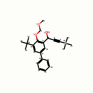 COCOc1c(C(O)C#C[Si](C)(C)C)cc(-c2ccccc2)cc1C(C)(C)C